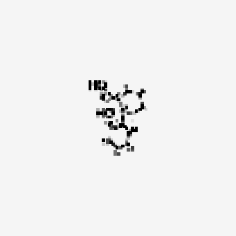 OOC1CCCCC1(O)c1ccccc1